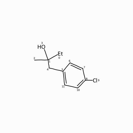 CCC(C)(O)Cc1ccc(Cl)cc1